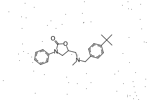 CN(Cc1ccc(C(C)(C)C)cc1)CC1CN(c2ccccc2)C(=O)O1